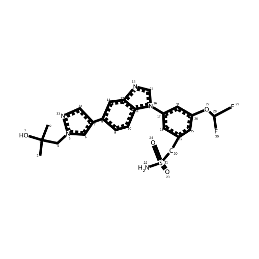 CC(C)(O)Cn1cc(-c2ccc3c(c2)ncn3-c2cc(CS(N)(=O)=O)cc(OC(F)F)c2)cn1